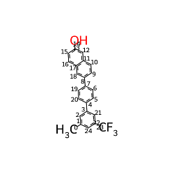 Cc1cc(-c2ccc(-c3ccc4cc(O)ccc4c3)cc2)cc(C(F)(F)F)c1